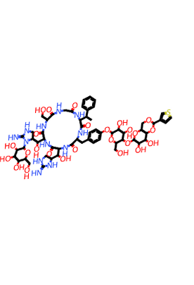 CC(c1ccccc1)C1NC(=O)CNC(=O)C(CO)NC(=O)C(C(O)C2CNC(=N)N2C2OC(CO)C(O)C(O)C2O)NC(=O)C(C(O)C2CNC(=N)N2)NC(=O)C(Cc2ccc(OC3OC(CO)C(OC4OC5COC(c6ccsc6)OC5C(O)C4O)C(O)C3O)cc2)NC1=O